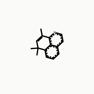 CC1=CC(C)(C)c2cccc3ccnc1c23